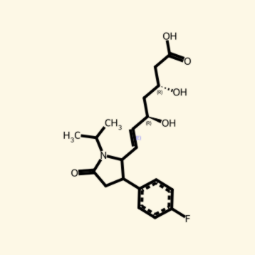 CC(C)N1C(=O)CC(c2ccc(F)cc2)C1/C=C/[C@H](O)C[C@@H](O)CC(=O)O